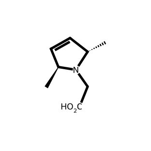 C[C@H]1C=C[C@H](C)N1CC(=O)O